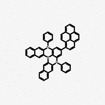 c1ccc(N2c3cc4ccccc4cc3B3c4cc5ccccc5cc4N(c4ccccc4)c4cc(-c5ccc6ccc7cccc8ccc5c6c78)cc2c43)cc1